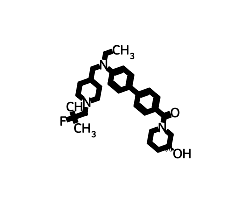 CCN(CC1CCN(CC(C)(C)F)CC1)c1ccc(-c2ccc(C(=O)N3CCC[C@@H](O)C3)cc2)cc1